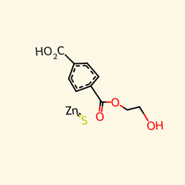 O=C(O)c1ccc(C(=O)OCCO)cc1.[S]=[Zn]